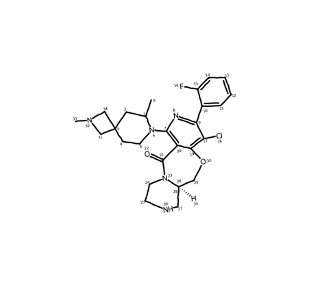 CC1CC2(CCN1c1nc(-c3ccccc3F)c(Cl)c3c1C(=O)N1CCNC[C@@H]1CO3)CN(C)C2